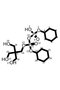 O=P(O)(OC1CCCCC1)OP(=O)(OCC(CO)(CO)CO)OC1CCCCC1